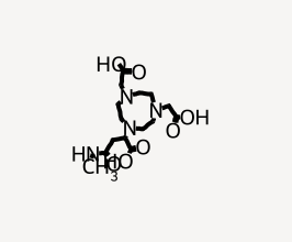 CNC(=O)CC(C(=O)O)N1CCN(CC(=O)O)CCN(CC(=O)O)CC1